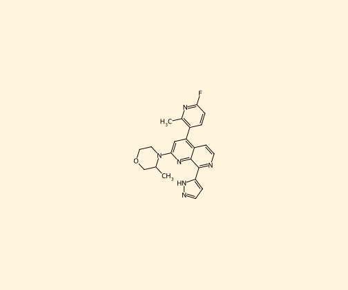 Cc1nc(F)ccc1-c1cc(N2CCOCC2C)nc2c(-c3ccn[nH]3)nccc12